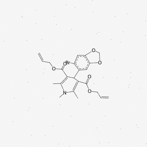 C=CCOC(=O)C1=C(C)N(C)C(C)=C(C(=O)OCC=C)C1c1cc2c(cc1Br)OCO2